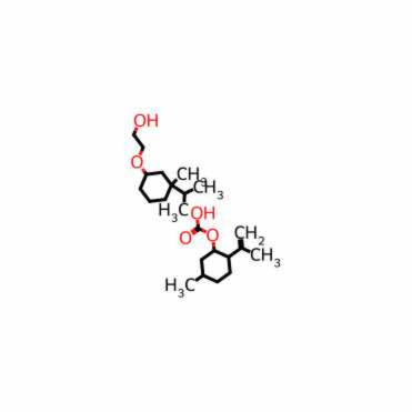 C=C(C)C1CCC(C)CC1OC(=O)O.CC(C)C1(C)CCCC(OCCO)C1